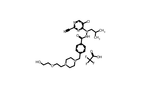 CC(C)CN(NC(=O)c1ccc(CN2CCN(CCOCCO)CC2)cc1)c1nc(C#N)ncc1Cl.O=C(O)C(F)(F)F